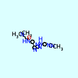 CN(C)C/C=C/C(=O)Nc1cccc(-c2ccnc3cnc(Nc4ccc(N5CCN(C)CC5)cc4)nc23)c1